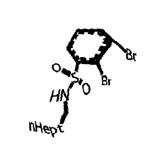 CCCCCCCCNS(=O)(=O)c1cccc(Br)c1Br